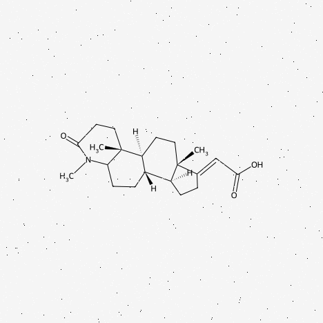 CN1C(=O)CC[C@@]2(C)C1CC[C@@H]1[C@@H]2CC[C@]2(C)C(=CC(=O)O)CC[C@@H]12